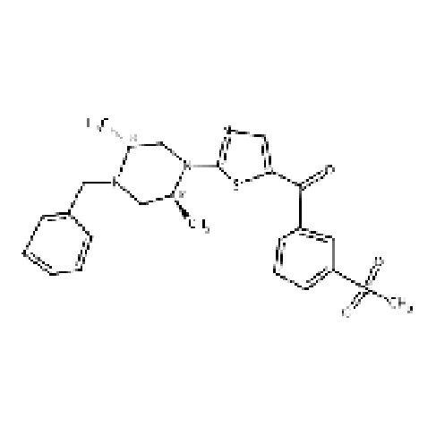 C[C@@H]1CN(c2ncc(C(=O)c3cccc(S(C)(=O)=O)c3)s2)[C@@H](C)CN1Cc1ccccc1